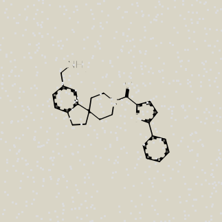 NCc1ccc2c(c1)C1(CC2)CCN(C(=O)c2ccc(-c3ccccc3)o2)CC1